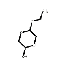 CCOC1COC(O)CO1